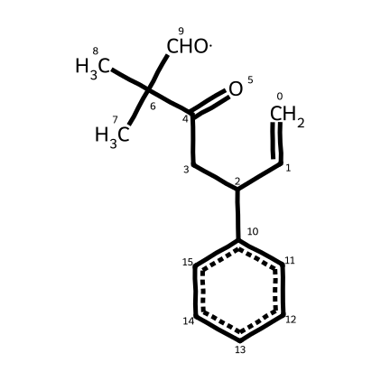 C=CC(CC(=O)C(C)(C)[C]=O)c1ccccc1